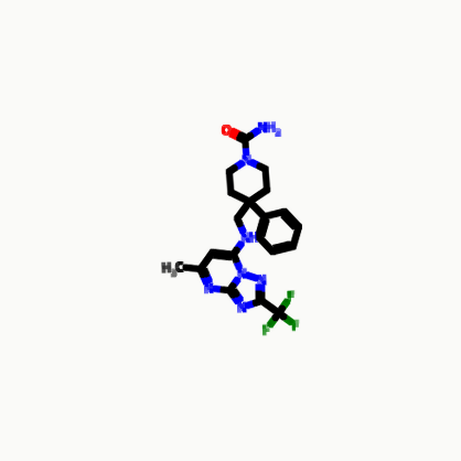 Cc1cc(NCC2(c3ccccc3)CCN(C(N)=O)CC2)n2nc(C(F)(F)F)nc2n1